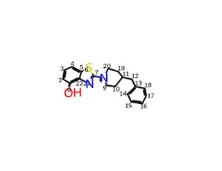 Oc1cccc2sc(N3CCC(Cc4ccccc4)CC3)nc12